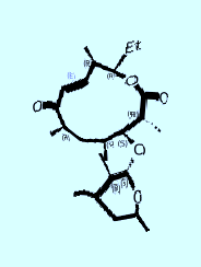 CC[C@H]1OC(=O)[C@H](C)[C@@H](O[C@@H]2OC(C)CC(C)[C@H]2C)[C@@H](C)C[C@@H](C)C(=O)/C=C/[C@H]1C